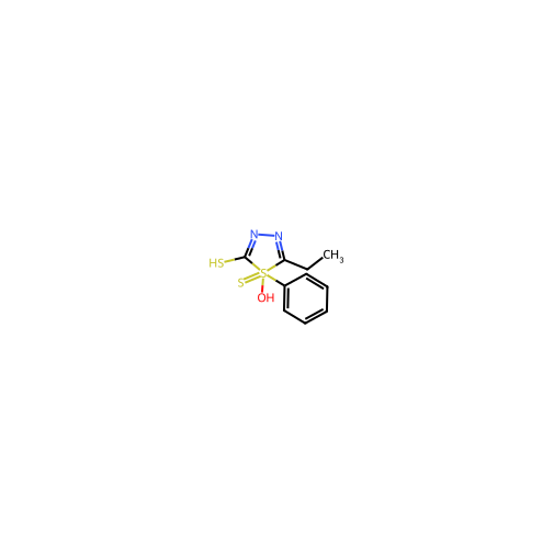 CCC1=NN=C(S)S1(O)(=S)c1ccccc1